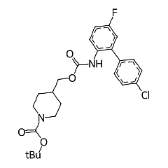 CC(C)(C)OC(=O)N1CCC(COC(=O)Nc2ccc(F)cc2-c2ccc(Cl)cc2)CC1